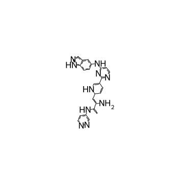 C=C(Nc1ccnnc1)/C(N)=C/C1C=CC(c2nccc(Nc3ccc4[nH]ncc4c3)n2)=CN1